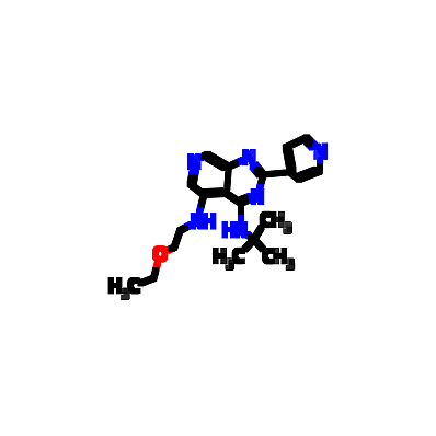 CCOCCNc1cncc2nc(-c3ccncc3)nc(NC(C)(C)C)c12